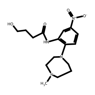 CN1CCCN(c2ccc([N+](=O)[O-])cc2NC(=O)CCCO)CC1